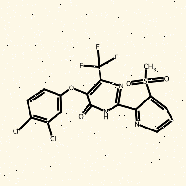 CS(=O)(=O)c1cccnc1-c1nc(C(F)(F)F)c(Oc2ccc(Cl)c(Cl)c2)c(=O)[nH]1